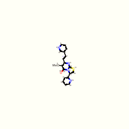 COc1c(/C=C/c2cccnc2)nc2scc(-c3ccccn3)n2c1=O